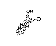 CCNC(=O)Nc1ncnc2c1nc(I)n2C1OC(COCCO)C2OC(/C=C/c3ccccc3)OC21